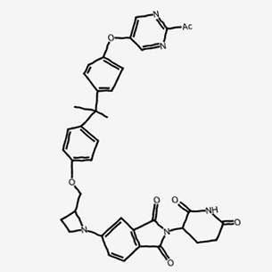 CC(=O)c1ncc(Oc2ccc(C(C)(C)c3ccc(OCC4CCN4c4ccc5c(c4)C(=O)N(C4CCC(=O)NC4=O)C5=O)cc3)cc2)cn1